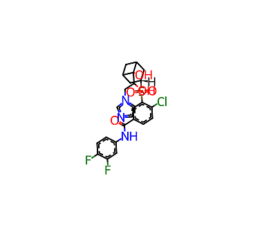 O=C(Nc1ccc(F)c(F)c1)c1ccc(Cl)c(S(=O)(=O)[C@H]2CC3CC(C2)[C@@]3(O)C(O)Cn2ccnc2)c1